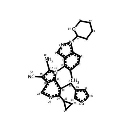 Cc1ccc2c(cnn2C2CCCCO2)c1-n1c(N)c(C#N)c2cnc(C3CC3)c(Cc3ccsc3)c21